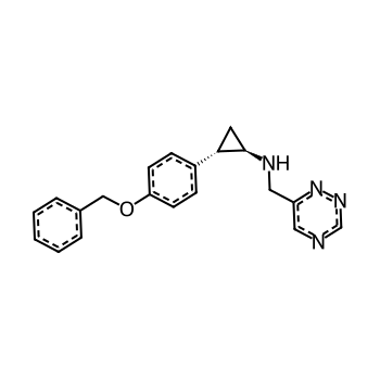 c1ccc(COc2ccc([C@@H]3C[C@H]3NCc3cncnn3)cc2)cc1